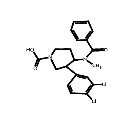 CN(C(=O)c1ccccc1)C1CCN(C(=O)O)CC1c1ccc(Cl)c(Cl)c1